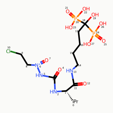 CC(C)[C@H](NC(=O)N[N+](=O)CCCl)C(=O)NCCCCC(O)(P(=O)(O)O)P(=O)(O)O